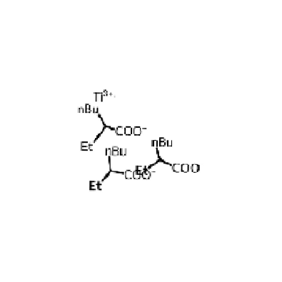 CCCCC(CC)C(=O)[O-].CCCCC(CC)C(=O)[O-].CCCCC(CC)C(=O)[O-].[Ti+3]